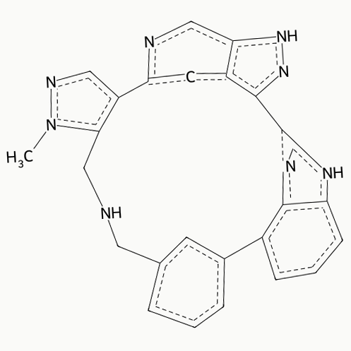 Cn1ncc2c1CNCc1cccc(c1)-c1cccc3[nH]c(nc13)-c1n[nH]c3cnc-2cc13